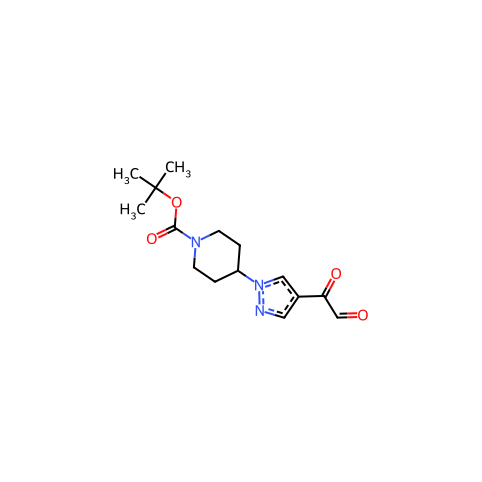 CC(C)(C)OC(=O)N1CCC(n2cc(C(=O)C=O)cn2)CC1